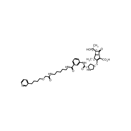 C[C@H]1C(S[C@@H]2CN[C@H](C(=O)Nc3cccc(C(=O)NCCCCCNC(=O)COCCCCc4cccnc4)c3)C2)=C(C(=O)O)N2C(=O)[C@H]([C@@H](C)O)C12